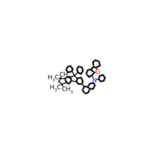 CC1(C)CC(C)(C)c2cc3c(cc21)-c1cc(-c2cccc4ccc(N(c5ccccc5)c5cccc6c5oc5ccccc56)cc24)ccc1C3(c1ccccc1)c1ccccc1